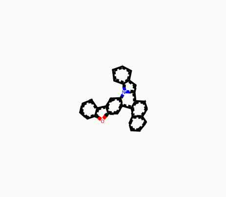 c1ccc2c(c1)ccc1c2c2cc3oc4ccccc4c3cc2n2c3ccccc3cc12